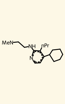 CCCc1c(C2CCCCC2)ccnc1NCCNC